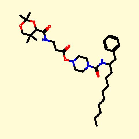 CCCCCCCCCC(Cc1ccccc1)NC(=O)N1CCN(OC(=O)CCNC(=O)C2OC(C)(C)OCC2(C)C)CC1